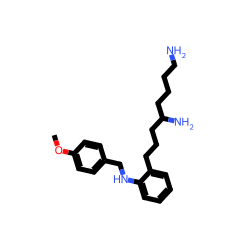 COc1ccc(CNc2ccccc2CCCC(N)CCCCN)cc1